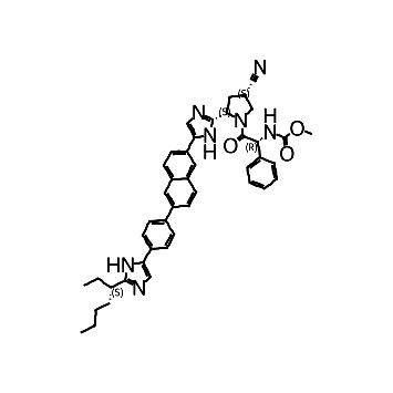 CCCC[C@H](CC)c1ncc(-c2ccc(-c3ccc4cc(-c5cnc([C@@H]6C[C@H](C#N)CN6C(=O)[C@H](NC(=O)OC)c6ccccc6)[nH]5)ccc4c3)cc2)[nH]1